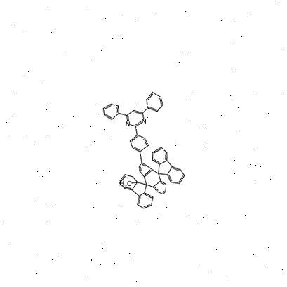 CC12CC=CC=C1c1ccccc1C21c2ccccc2C2(c3ccccc3-c3ccccc32)c2cc(-c3ccc(-c4nc(-c5ccccc5)cc(-c5ccccc5)n4)cc3)ccc21